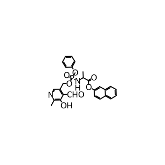 Cc1ncc(COP(=O)(NC(C)C(=O)Oc2ccc3ccccc3c2)Oc2ccccc2)c(C=O)c1O